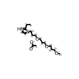 CC(=O)[O-].CCc1[nH]cc[n+]1CCCOCCCOCCCOC